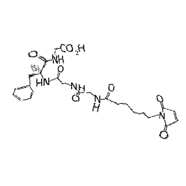 O=C(O)CNC(=O)[C@H](Cc1ccccc1)NC(=O)CNC(=O)CNC(=O)CCCCCN1C(=O)C=CC1=O